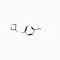 COCc1ccc(OC2CNC2)cn1